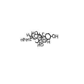 [CH2]CCCC[C@@H](C)[C@H]1CC[C@H]2[C@@H]3[C@H](O)C[C@@H]4C[C@H](O)CC[C@]4(C)[C@H]3C[C@H](O)[C@]12C